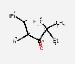 CCC(C)(C)C(=O)C(CC(C)C)C(C)C